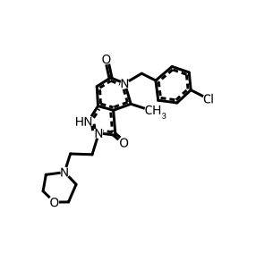 Cc1c2c(=O)n(CCN3CCOCC3)[nH]c2cc(=O)n1Cc1ccc(Cl)cc1